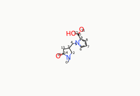 CN1CC(Cn2cccc2C(=O)O)CC1=O